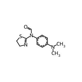 CN(C)c1ccc(N(C=O)C2=NCCS2)cc1